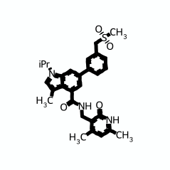 Cc1cc(C)c(CNC(=O)c2cc(-c3cccc(CS(C)(=O)=O)c3)cc3c2c(C)cn3C(C)C)c(=O)[nH]1